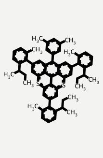 CCC(C)c1cccc(C)c1-c1cc2sc3cc(-c4c(C)cccc4C(C)CC)cc4c(-c5cc(C)cc(C)c5)c5cc(-c6c(C)cccc6C(C)CC)cc6sc(c1)c2-c(c34)c65